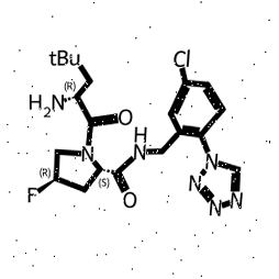 CC(C)(C)C[C@@H](N)C(=O)N1C[C@H](F)C[C@H]1C(=O)NCc1cc(Cl)ccc1-n1cnnn1